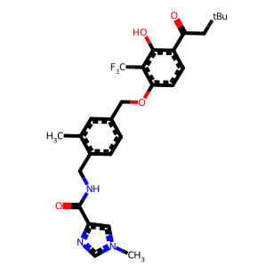 Cc1cc(COc2ccc(C(=O)CC(C)(C)C)c(O)c2C(F)(F)F)ccc1CNC(=O)c1cn(C)cn1